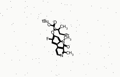 Cc1nccc2c1c(=O)n(C)c1cc(ON(C(=O)OC(C)(C)C)C(C)CC(C)C)c(F)cc21